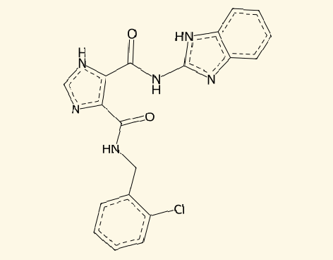 O=C(NCc1ccccc1Cl)c1nc[nH]c1C(=O)Nc1nc2ccccc2[nH]1